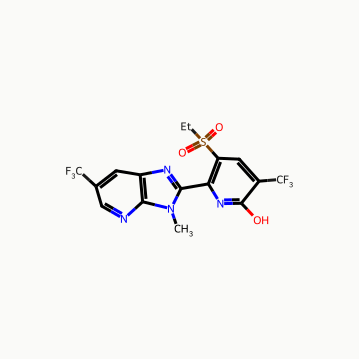 CCS(=O)(=O)c1cc(C(F)(F)F)c(O)nc1-c1nc2cc(C(F)(F)F)cnc2n1C